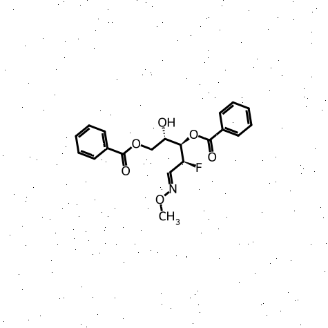 CON=C[C@H](F)[C@H](OC(=O)c1ccccc1)[C@@H](O)COC(=O)c1ccccc1